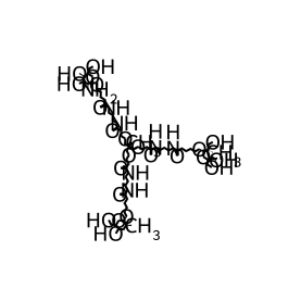 C[C@@H](CO)[C@H](OCCCCC(=O)NCCCNC(=O)CCOCC(C)(COCCC(=O)NCCCNC(=O)CCCCO[C@@H]1OC(CO)C(O)C[C@@H]1C)COCCC(=O)NCCCNC(=O)CCCCO[C@@H]1OC(CO)[C@H](O)C(O)[C@@H]1N)OC(CO)CO